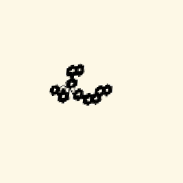 c1ccc2c(-c3ccc(N(c4ccc(-c5ccc6ccc7c8ccccc8ccc7c6c5)cc4)c4cccc5c4oc4ccccc45)cc3)cccc2c1